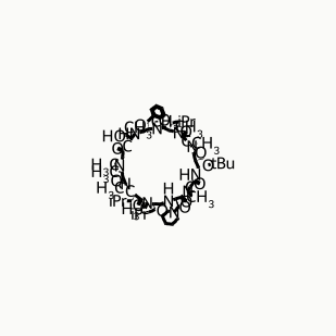 CC(C)C[C@@H]1CN(C)C(=O)[C@H](C)N(C)CC(=O)C[C@H]([C@@H](C)O)NC(=O)[C@H](Cc2ccccc2)N(C)C(=O)[C@H](CC(C)C)N(C)C(=O)CN(C)C(=O)[C@H](COC(C)(C)C)CNC(=O)CN(C)C(=O)[C@@H](C(=O)N2CCCCC2)NC(=O)[C@H](CC(C)C)N(C)C1=O